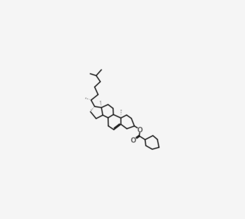 CC(C)CCC[C@@H](C)[C@H]1CCC2C3CC=C4CC(OC(=O)C5CCCCC5)CC[C@]4(C)C3CC[C@@]21C